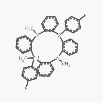 CN1c2ccccc2P(c2ccc(F)cc2)c2ccccc2N(C)c2ccccc2[PH](C)(c2ccc(F)cc2)c2ccccc21